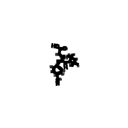 CC1(C)CC(C)(C)C1NC(=Nc1ccc(C#N)cc1)NCC(=O)O